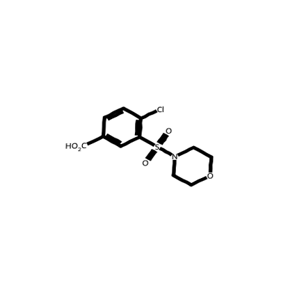 O=C(O)c1ccc(Cl)c(S(=O)(=O)N2CCOCC2)c1